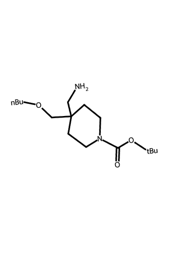 CCCCOCC1(CN)CCN(C(=O)OC(C)(C)C)CC1